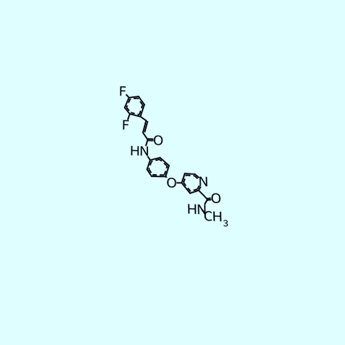 CNC(=O)c1cc(Oc2ccc(NC(=O)C=Cc3ccc(F)cc3F)cc2)ccn1